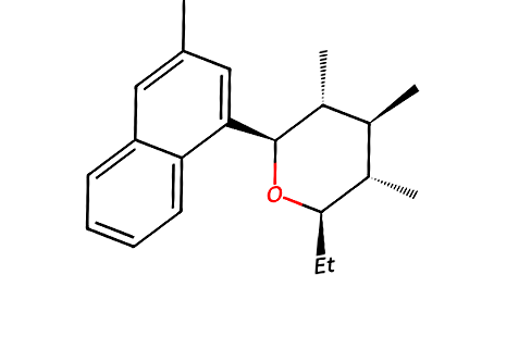 CC[C@H]1O[C@@H](c2cc(C)cc3ccccc23)[C@H](C)[C@@H](C)[C@@H]1C